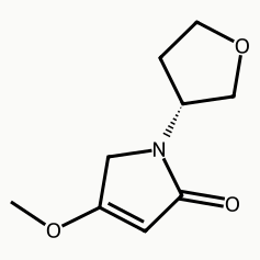 COC1=CC(=O)N([C@@H]2CCOC2)C1